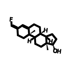 C[C@]12CC[C@H]3[C@@H](CCC4=CC(=CF)CC[C@@]43C)[C@@H]1CC[C@@H]2O